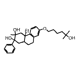 CCC12CC(C)(O)C(O)(c3ccccc3)CC1CCc1cc(OCCCCC(C)(C)O)ccc12